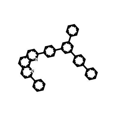 c1ccc(-c2ccc(-c3cc(-c4ccccc4)cc(-c4ccc(-c5ccc6ccc7ccc(-c8ccccc8)nc7c6n5)cc4)c3)cc2)cc1